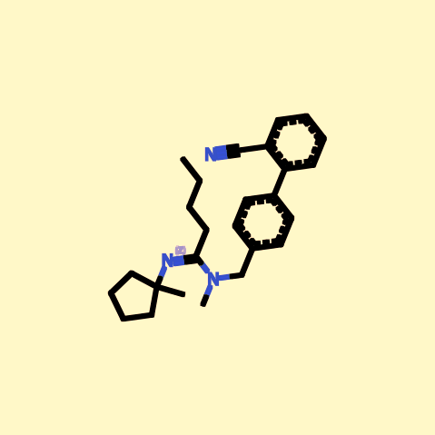 CCCC/C(=N/C1(C)CCCC1)N(C)Cc1ccc(-c2ccccc2C#N)cc1